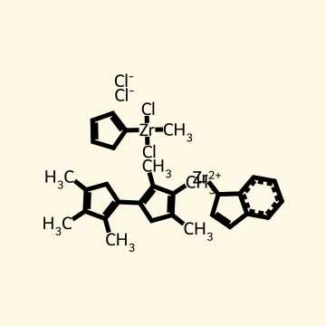 CC1=C(C)C(C)=C(C2=C(C)C(C)=C(C)C2)C1.[CH3][Zr]([Cl])([Cl])[C]1=CC=CC1.[Cl-].[Cl-].[Zr+2][CH]1C=Cc2ccccc21